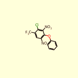 O=[N+]([O-])c1cc(C(F)(F)F)c(Cl)c([N+](=O)[O-])c1Oc1ccccc1